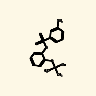 CC(C)(C)[Si](C)(C)Oc1ccccc1OS(=O)(=O)c1cccc(N)c1